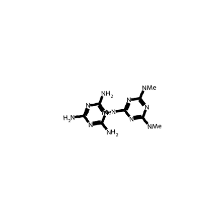 CNc1nc(NC)nc(NC)n1.Nc1nc(N)nc(N)n1